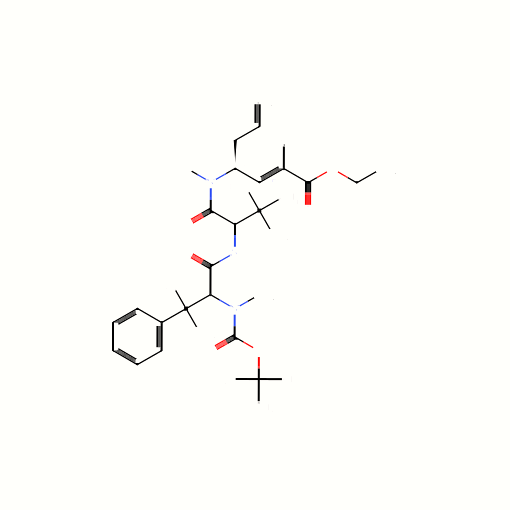 C=CC[C@@H](/C=C(\C)C(=O)OCC)N(C)C(=O)C(NC(=O)C(N(C)C(=O)OC(C)(C)C)C(C)(C)c1ccccc1)C(C)(C)C